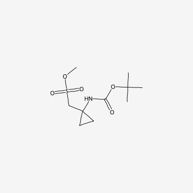 COS(=O)(=O)CC1(NC(=O)OC(C)(C)C)CC1